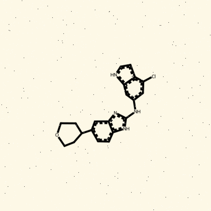 Clc1cc(Nc2nc3cc(C4CCOCC4)ccc3[nH]2)cc2[nH]ccc12